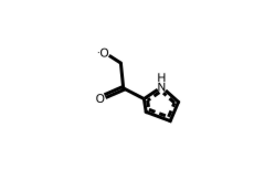 [O]CC(=O)c1ccc[nH]1